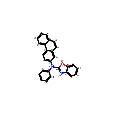 c1ccc(N(c2ccc3c(ccc4ccccc43)c2)c2nc3ccccc3o2)cc1